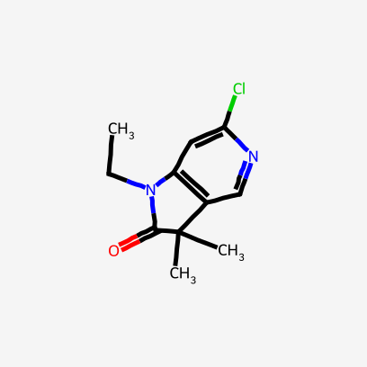 CCN1C(=O)C(C)(C)c2cnc(Cl)cc21